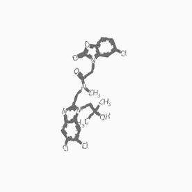 CN(Cc1nc2cc(Cl)c(Cl)cc2n1CC(C)(C)O)C(=O)Cn1c(=O)oc2ccc(Cl)cc21